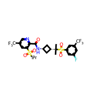 CC(C)S(=O)(=O)c1cc(C(F)(F)F)cnc1C(=O)N[C@H]1C[C@@H](C(C)(C)S(=O)(=O)c2cc(F)cc(C(F)(F)F)c2)C1